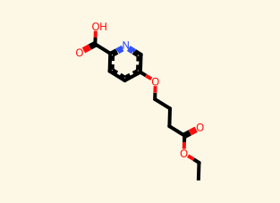 CCOC(=O)CCCOc1ccc(C(=O)O)nc1